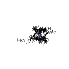 CCn1nc(C)cc1C(=O)Nc1nc2cc(C(N)=O)cc(OCCCOC)c2n1C/C=C/Cn1c2nc(-c3cc(C)nn3CC)ncc2c2cc(C(N)=O)cc(OCCCOC(=O)NCCC(=O)O)c21